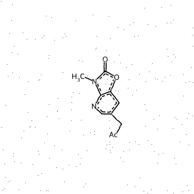 CC(=O)Cc1cnc2c(c1)oc(=O)n2C